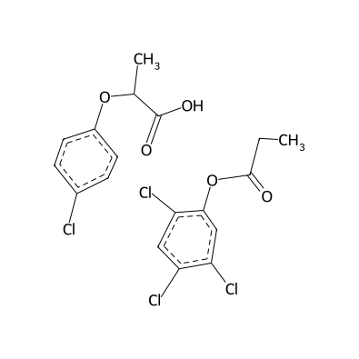 CC(Oc1ccc(Cl)cc1)C(=O)O.CCC(=O)Oc1cc(Cl)c(Cl)cc1Cl